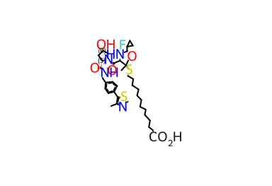 Cc1ncsc1-c1ccc(CNC(=O)[C@@H]2C[C@@H](O)CN2C(=O)C(NC(=O)C2(F)CC2)C(C)(C)SCCCCCCCCCCCCC(=O)O)cc1